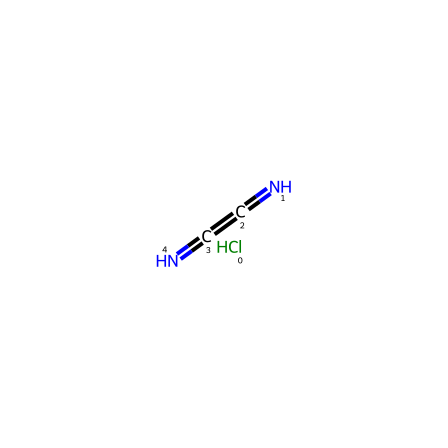 Cl.N=C=C=N